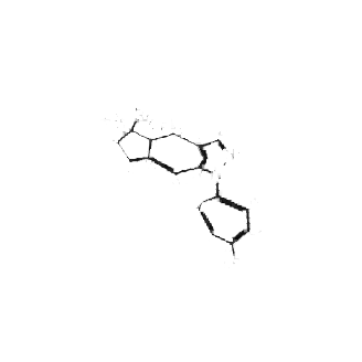 C[C@]12Cc3cnn(-c4ccc(F)cc4)c3C=C1CC[C@@]2(O)Br